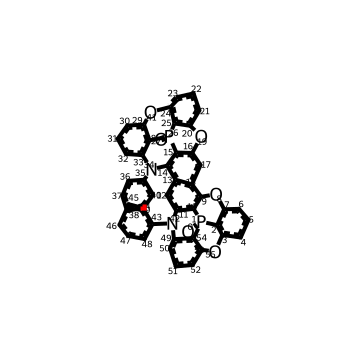 O=P12c3c4cccc3Oc3c1c(cc1c5c6c(cc31)Oc1cccc3c1P6(=O)c1c(cccc1N5c1ccccc1)O3)N(c1ccccc1)c1cccc(c12)O4